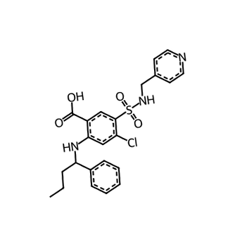 CCCC(Nc1cc(Cl)c(S(=O)(=O)NCc2ccncc2)cc1C(=O)O)c1ccccc1